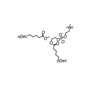 CCCCCCCCCCCCCCC(=O)OC[C@H](COP(=O)([O-])OCC[N+](C)(C)C)OC(=O)CCCCCCCCCCCCCC